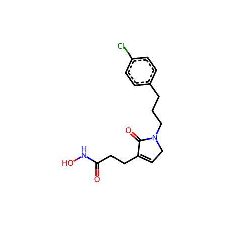 O=C(CCC1=CCN(CCCc2ccc(Cl)cc2)C1=O)NO